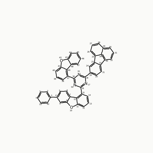 c1ccc(-c2ccc3c(c2)oc2cccc(-c4nc(-c5ccc6c(c5)-c5cccc7cccc-6c57)nc(-c5cccc6oc7ccccc7c56)n4)c23)cc1